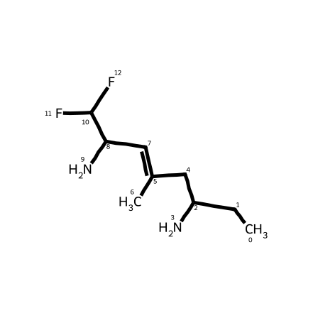 CCC(N)C/C(C)=C/C(N)C(F)F